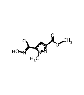 COC(=O)c1cc(/C(Cl)=N/O)n(C)n1